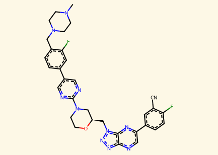 CN1CCN(Cc2ccc(-c3cnc(N4CCO[C@H](Cn5nnc6ncc(-c7ccc(F)c(C#N)c7)nc65)C4)nc3)cc2F)CC1